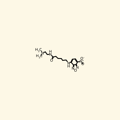 CN(C)CCNC(=O)CCCCCNc1ccc([N+](=O)[O-])c2nonc12